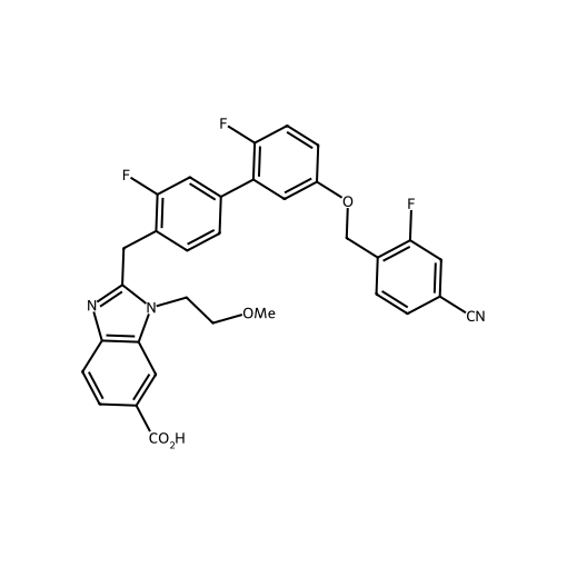 COCCn1c(Cc2ccc(-c3cc(OCc4ccc(C#N)cc4F)ccc3F)cc2F)nc2ccc(C(=O)O)cc21